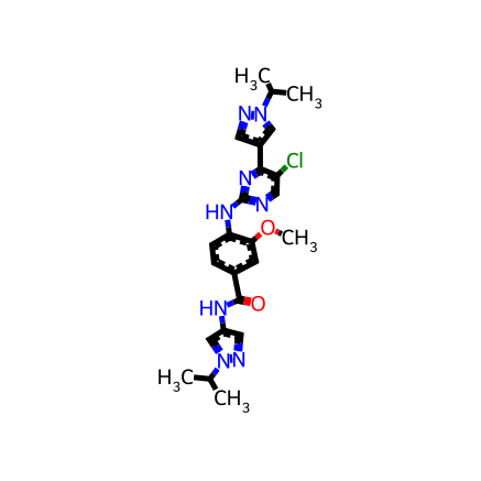 COc1cc(C(=O)Nc2cnn(C(C)C)c2)ccc1Nc1ncc(Cl)c(-c2cnn(C(C)C)c2)n1